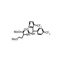 COC(=O)C(CCSC)NC(=O)NC(c1ccc(C(F)(F)F)cc1)c1ncccc1C(F)(F)F